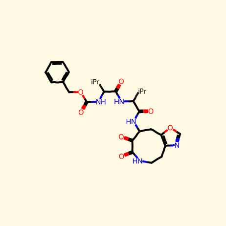 CC(C)C(NC(=O)OCc1ccccc1)C(=O)NC(C(=O)NC1Cc2ocnc2CCNC(=O)C1=O)C(C)C